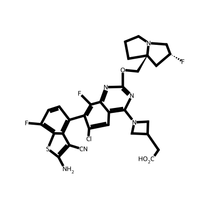 N#Cc1c(N)sc2c(F)ccc(-c3c(Cl)cc4c(N5CC(CC(=O)O)C5)nc(OC[C@@]56CCCN5C[C@H](F)C6)nc4c3F)c12